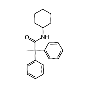 CC(C(=O)NC1CCCCC1)(c1ccccc1)c1ccccc1